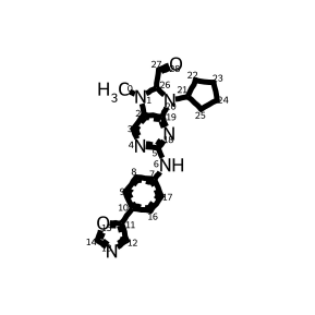 CN1c2cnc(Nc3ccc(-c4cnco4)cc3)nc2N(C2CCCC2)C1C=O